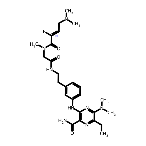 CCc1nc(C(N)=O)c(Nc2cccc(CCNC(=O)CN(C)C(=O)/C(F)=C/CN(C)C)c2)nc1N(C)C